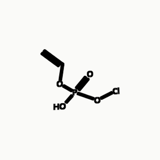 C=COP(=O)(O)OCl